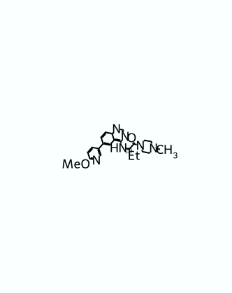 CC[C@H](Nc1ncnc2ccc(-c3ccc(OC)nc3)cc12)C(=O)N1CCN(C)CC1